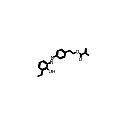 [CH2]Cc1cccc(/N=N/c2ccc(CCOC(=O)C(=C)C)cc2)c1O